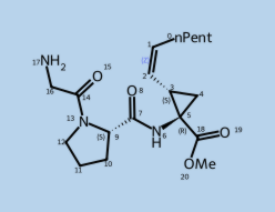 CCCCC/C=C\[C@@H]1C[C@]1(NC(=O)[C@@H]1CCCN1C(=O)CN)C(=O)OC